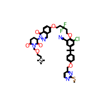 CSc1nccc(COc2ccc(C(C)(C)c3cc(Cl)c(OCCC(F)(F)CCOc4ccc5c(=O)n(C6CCC(=O)N(COCC[Si](C)(C)C)C6=O)ncc5c4)c(C#N)c3)cc2)n1